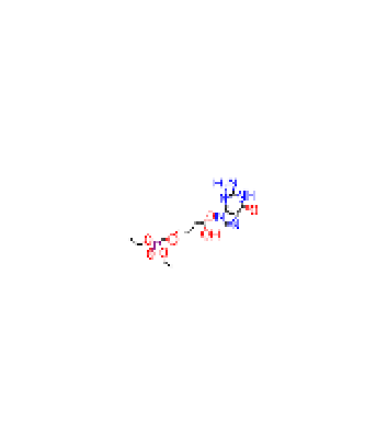 CCOP(=O)(COCCCC(O)On1cnc2c(=O)[nH]c(N)nc21)OCC